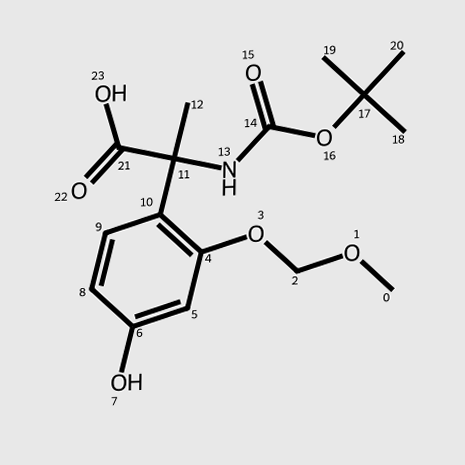 COCOc1cc(O)ccc1C(C)(NC(=O)OC(C)(C)C)C(=O)O